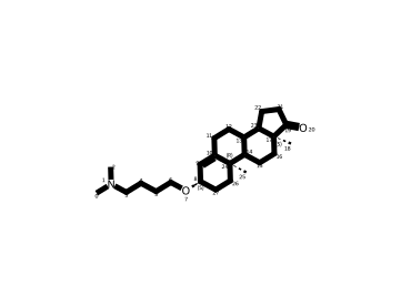 CN(C)CCCCO[C@@H]1C=C2CCC3C(CC[C@]4(C)C(=O)CCC34)[C@@]2(C)CC1